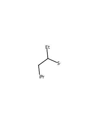 CCC([S])CC(C)C